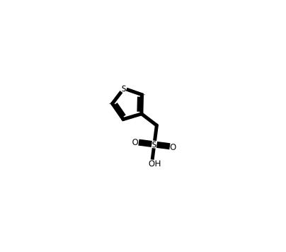 O=S(=O)(O)Cc1[c]s[c]c1